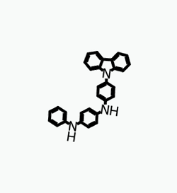 c1ccc(Nc2ccc(Nc3ccc(-n4c5ccccc5c5ccccc54)cc3)cc2)cc1